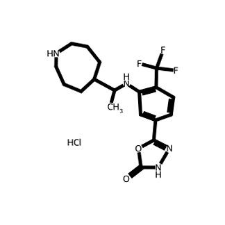 CC(Nc1cc(-c2n[nH]c(=O)o2)ccc1C(F)(F)F)C1CCCNCCC1.Cl